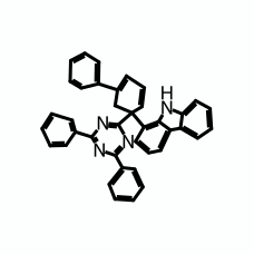 C1=CC(c2nc(-c3ccccc3)nc(-c3ccccc3)n2)(c2cccc3c2[nH]c2ccccc23)CC(c2ccccc2)=C1